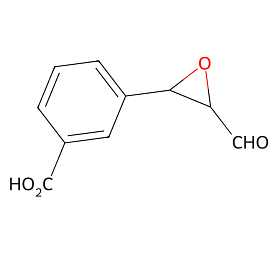 O=CC1OC1c1cccc(C(=O)O)c1